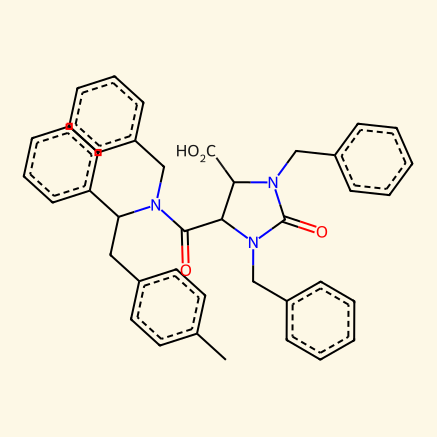 Cc1ccc(CC(c2ccccc2)N(Cc2ccccc2)C(=O)C2C(C(=O)O)N(Cc3ccccc3)C(=O)N2Cc2ccccc2)cc1